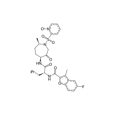 Cc1c(C(=O)N[C@@H](CC(C)C)C(=O)N[C@H]2CC[C@@H](C)N(S(=O)(=O)c3cccc[n+]3[O-])CC2=O)oc2ccc(F)cc12